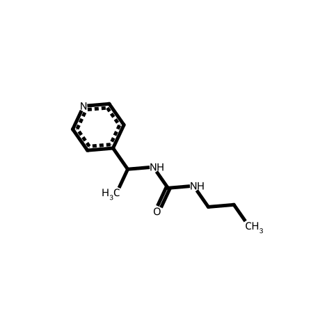 CCCNC(=O)NC(C)c1ccncc1